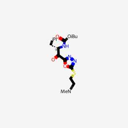 CNCCSc1nnc(C(=O)[C@H](CC(C)C)NC(=O)OCC(C)C)o1